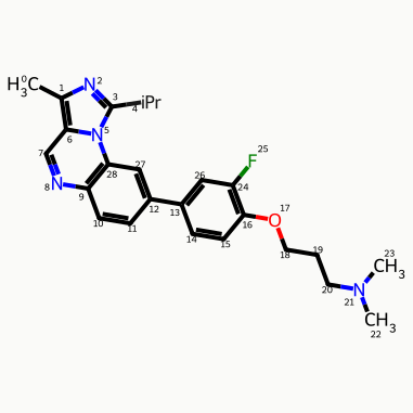 Cc1nc(C(C)C)n2c1cnc1ccc(-c3ccc(OCCCN(C)C)c(F)c3)cc12